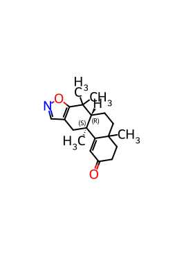 CC12CCC(=O)C=C1[C@@]1(C)Cc3cnoc3C(C)(C)[C@@H]1CC2